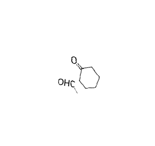 CC=O.O=C1CCCCC1